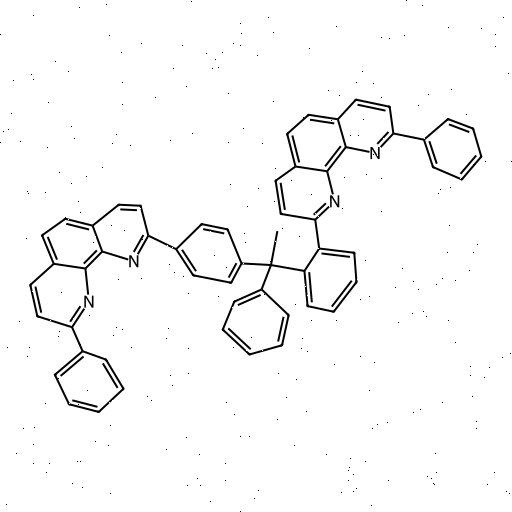 CC(c1ccccc1)(c1ccc(-c2ccc3ccc4ccc(-c5ccccc5)nc4c3n2)cc1)c1ccccc1-c1ccc2ccc3ccc(-c4ccccc4)nc3c2n1